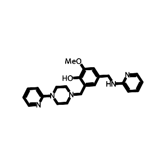 COc1cc(CNc2ccccn2)cc(CN2CCN(c3ccccn3)CC2)c1O